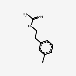 N=C(N)NCCc1cccc(F)c1